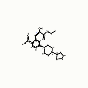 CCOC(=O)/C(O)=C\c1cc(N2CCN(C3CCCC3)CC2)ncc1[N+](=O)[O-]